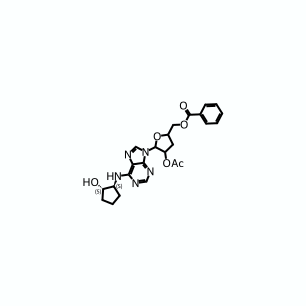 CC(=O)OC1CC(COC(=O)c2ccccc2)OC1n1cnc2c(N[C@H]3CCC[C@@H]3O)ncnc21